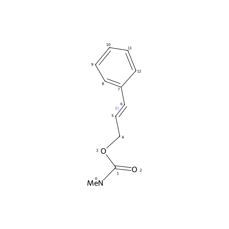 [CH2]NC(=O)OC/C=C/c1ccccc1